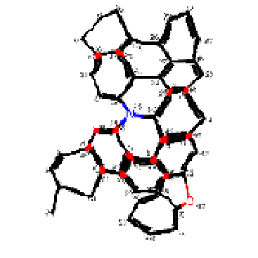 CC1C=Cc2ccc3c(-c4ccccc4N(c4ccccc4-c4cccc5cccc(C6CCCCC6)c45)c4ccccc4-c4cccc5oc6ccccc6c45)cccc3c2C1